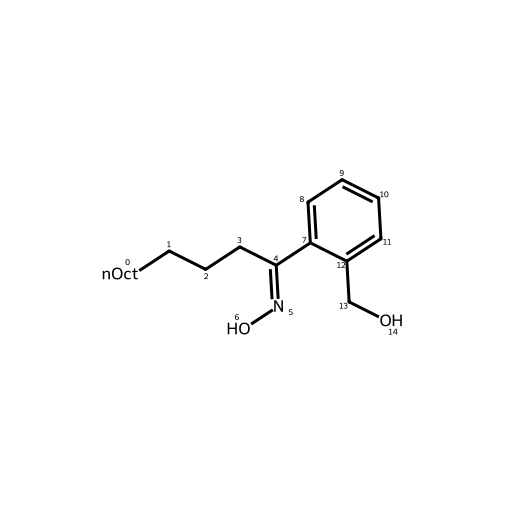 CCCCCCCCCCCC(=NO)c1ccccc1CO